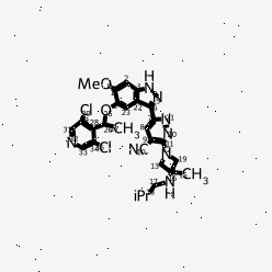 COc1cc2[nH]nc(-c3cc(C#N)c(N4CC(C)(NCC(C)C)C4)nn3)c2cc1OC(C)c1c(Cl)cncc1Cl